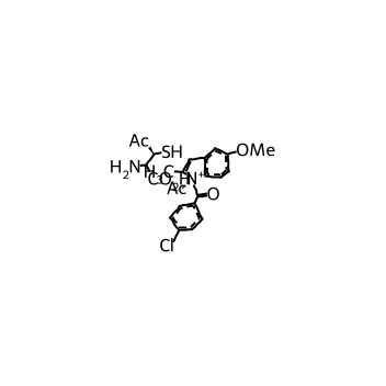 CC(=O)[C@@H](S)C(N)C(=O)O.COc1ccc2c(c1)C=C(C)[N@+]2(C(C)=O)C(=O)c1ccc(Cl)cc1